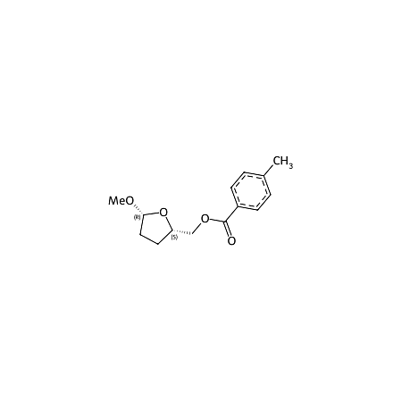 CO[C@H]1CC[C@@H](COC(=O)c2ccc(C)cc2)O1